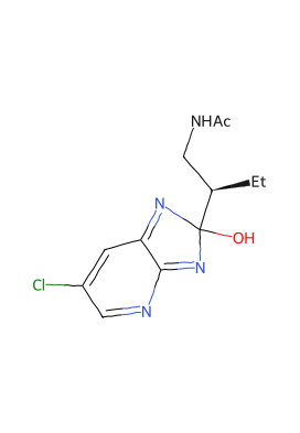 CC[C@H](CNC(C)=O)C1(O)N=c2cc(Cl)cnc2=N1